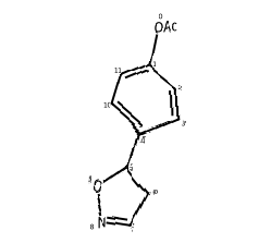 CC(=O)Oc1ccc(C2C[C]=NO2)cc1